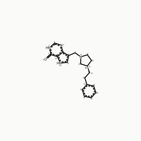 O=c1[nH]cnc2c(CN3CC[C@@H](CCc4ccccc4)C3)c[nH]c12